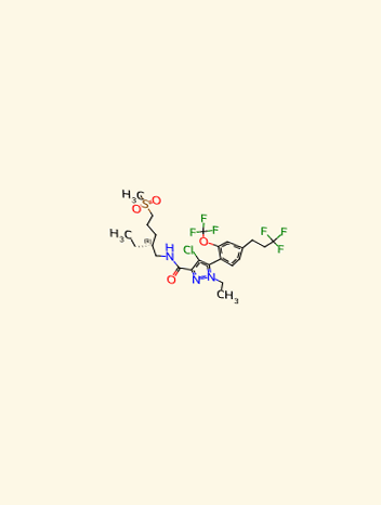 CC[C@H](CCCS(C)(=O)=O)CNC(=O)c1nn(CC)c(-c2ccc(CCC(F)(F)F)cc2OC(F)(F)F)c1Cl